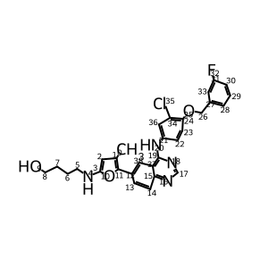 Cc1cc(NCCCCO)oc1-c1ccc2ncnc(Nc3ccc(OCc4cccc(F)c4)c(Cl)c3)c2c1